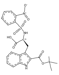 CC(C)(C)OC(=O)c1[nH]c2ccccc2c1C[C@H](NS(=O)(=O)c1ccccc1[N+](=O)[O-])C(=O)O